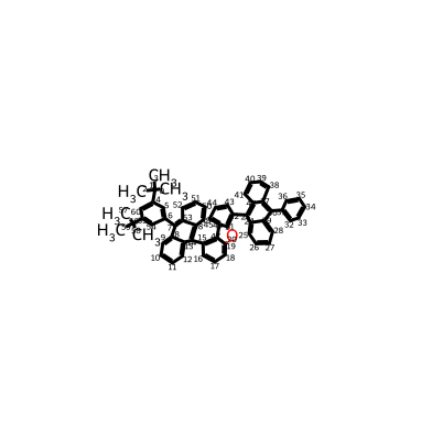 CC(C)(C)c1cc(-c2c3ccccc3c(-c3cccc4oc5c(-c6c7ccccc7c(-c7ccccc7)c7ccccc67)cccc5c34)c3ccccc23)cc(C(C)(C)C)c1